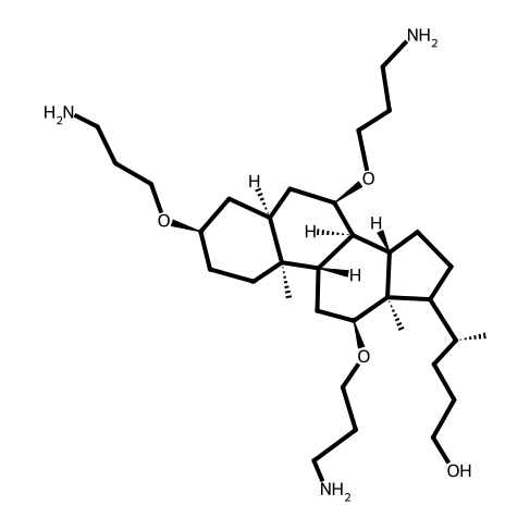 C[C@H](CCCO)C1CC[C@H]2[C@@H]3[C@H](OCCCN)C[C@@H]4C[C@H](OCCCN)CC[C@]4(C)[C@H]3C[C@H](OCCCN)[C@]12C